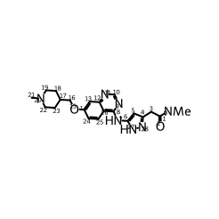 CNC(=O)Cc1cc(Nc2ncnc3cc(OCC4CCN(C)CC4)ccc23)[nH]n1